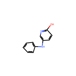 Oc1ccc(Nc2cc[c]cc2)cn1